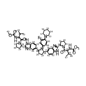 COC(=O)N[C@H](C(=O)N1CCC[C@H]1c1nc2cc(C3CC[C@@H](c4ccc5[nH]c([C@@H]6CCCN6C(=O)[C@@H](NC(=O)OC)C(C)C)nc5c4)N3c3ccc(N4CCCCC4)c(F)c3)ccc2[nH]1)C(C)C